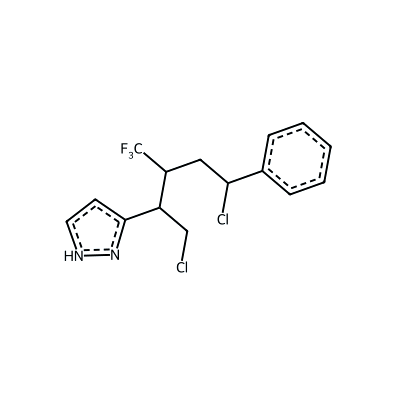 FC(F)(F)C(CC(Cl)c1ccccc1)C(CCl)c1cc[nH]n1